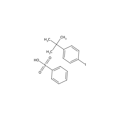 CC(C)(C)c1ccc(I)cc1.O=S(=O)(O)c1ccccc1